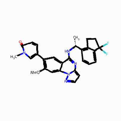 COc1cc2c(cc1-c1ccc(=O)n(C)c1)c(N[C@H](C)c1cccc3c1CCC3(F)F)nc1ccnn12